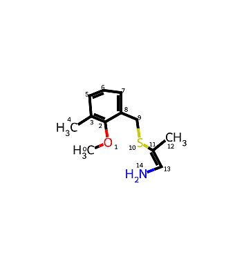 COc1c(C)cccc1CS/C(C)=C\N